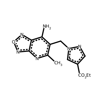 CCOC(=O)c1cnn(Cc2c(C)nc3nonc3c2N)c1